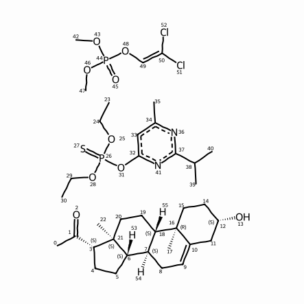 CC(=O)[C@H]1CC[C@H]2[C@@H]3CC=C4C[C@@H](O)CC[C@]4(C)[C@H]3CC[C@]12C.CCOP(=S)(OCC)Oc1cc(C)nc(C(C)C)n1.COP(=O)(OC)OC=C(Cl)Cl